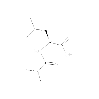 CC(C)C[C@H](NC(=O)C(C)C)C(=O)O